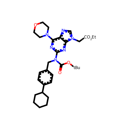 CCOC(=O)Cn1cnc2c(N3CCOCC3)nc(N(Cc3ccc(C4CCCCC4)cc3)C(=O)OC(C)(C)C)nc21